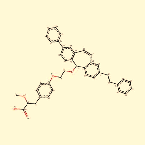 COC(Cc1ccc(OCCOC2c3ccc(CCc4ccccc4)cc3C=Cc3cc(-c4ccccc4)ccc32)cc1)C(=O)O